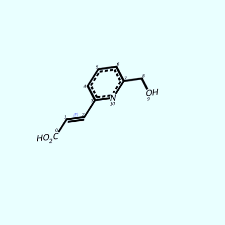 O=C(O)/C=C/c1cccc(CO)n1